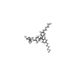 CCCCCCc1ccc(N(c2ccc(CCCCCC)cc2)c2ccc(CCC(=O)OCC)cc2)cc1